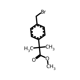 COC(=O)C(C)(C)c1ccc(CBr)cc1